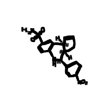 NS(=O)(=O)c1ccc2c(c1)[C@H]1C=CC[C@H]1[C@@H](c1ccc([N+](=O)[O-])cc1)N2